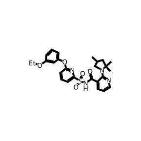 CCOc1cccc(Oc2cccc(S(=O)(=O)NC(=O)c3cccnc3N3CC(C)CC3(C)C)n2)c1